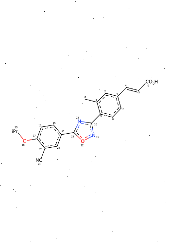 Cc1cc(C=CC(=O)O)ccc1-c1noc(-c2ccc(OC(C)C)c(C#N)c2)n1